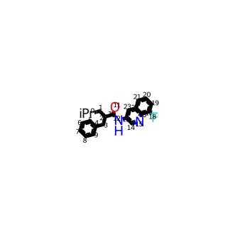 CC(C)CC(Cc1ccccc1)C(=O)Nc1cnc2c(F)cccc2c1